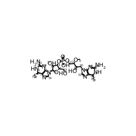 COC(COP(=O)(O)OC1C(CO)OC(n2cnc3c(=S)[nH]c(N)nc32)C1O)[C@H](O)Cn1cnc2c(=S)[nH]c(N)nc21